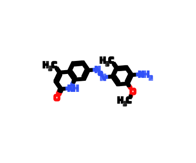 COc1cc(N=Nc2ccc3c(C)cc(=O)[nH]c3c2)c(C)cc1N